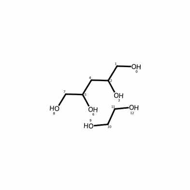 OCC(O)CC(O)CO.OCCO